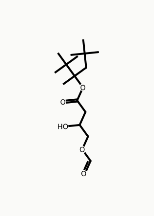 CC(C)(C)CC(C)(OC(=O)CC(O)COC=O)C(C)(C)C